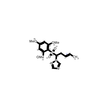 C/C=C/CC(n1cncn1)S(=O)(=O)c1c(OC)cc(OC)cc1OC